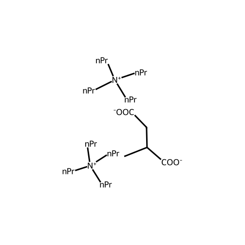 CC(CC(=O)[O-])C(=O)[O-].CCC[N+](CCC)(CCC)CCC.CCC[N+](CCC)(CCC)CCC